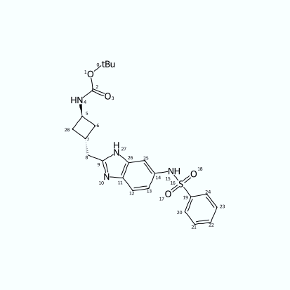 CC(C)(C)OC(=O)N[C@H]1C[C@H](Cc2nc3ccc(NS(=O)(=O)c4ccccc4)cc3[nH]2)C1